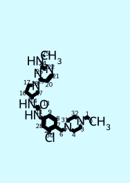 CCN1CCN(Cc2ccc(NC(=O)NC3CCN(c4ccnc(NC)n4)C3)cc2Cl)CC1